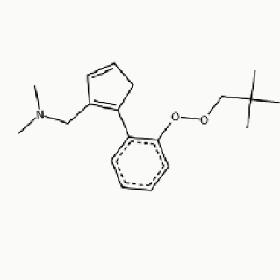 CN(C)CC1=C(c2ccccc2OOCC(C)(C)C)CC=C1